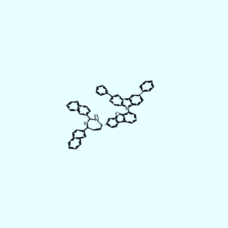 C1=C[C@@H](c2ccc3c(c2)oc2c(-n4c5ccc(-c6ccccc6)cc5c5cc(-c6ccccc6)ccc54)cccc23)NC(c2ccc3ccccc3c2)N=C1c1ccc2ccccc2c1